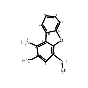 CCNc1cc(C)c(N)c2c1oc1ccccc12